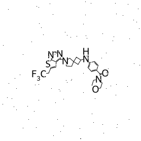 O=C(c1ccc(NC2CC3(CCN(c4ncnc5sc(CC(F)(F)F)cc45)C3)C2)cc1)N1CCOCC1